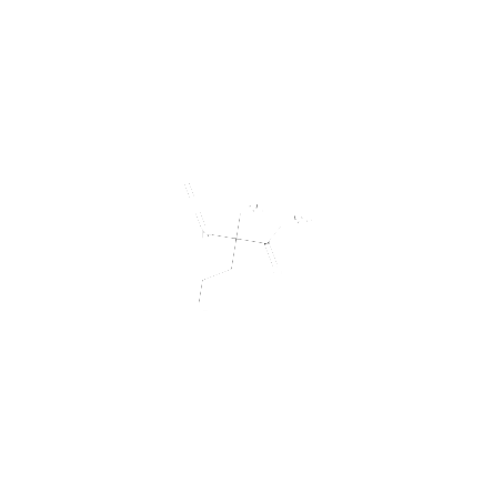 COC(=O)C(CCC(F)(F)F)(N=C=O)OC